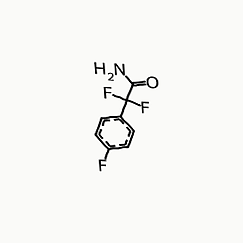 NC(=O)C(F)(F)c1ccc(F)cc1